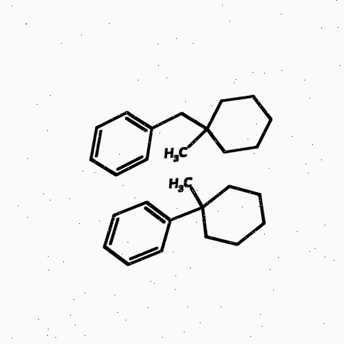 CC1(Cc2ccccc2)CCCCC1.CC1(c2ccccc2)CCCCC1